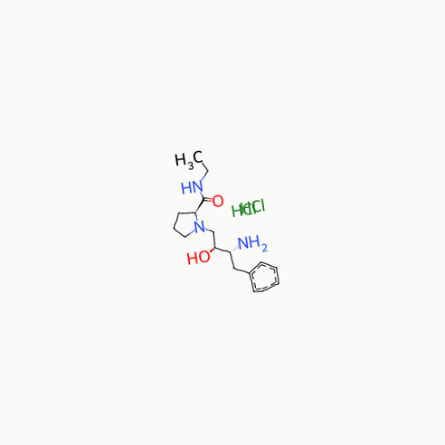 CCNC(=O)[C@@H]1CCCN1C[C@H](O)[C@H](N)Cc1ccccc1.Cl.Cl